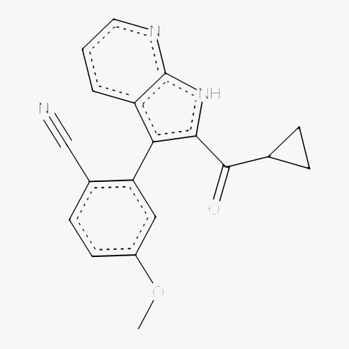 COc1ccc(C#N)c(-c2c(C(=O)C3CC3)[nH]c3ncccc23)c1